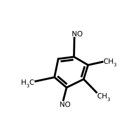 Cc1cc(N=O)c(C)c(C)c1N=O